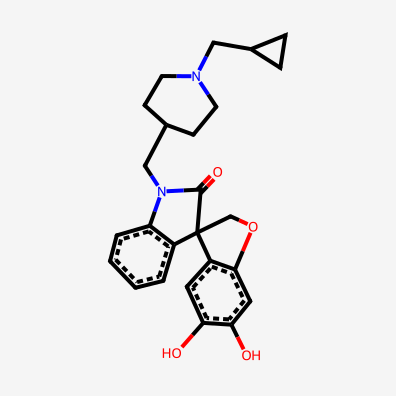 O=C1N(CC2CCN(CC3CC3)CC2)c2ccccc2C12COc1cc(O)c(O)cc12